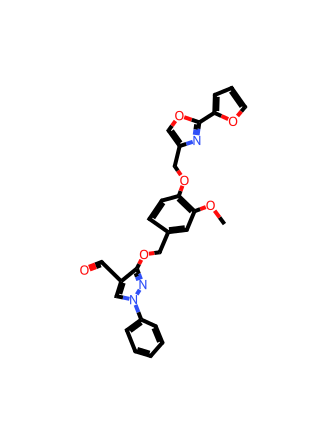 COc1cc(COc2nn(-c3ccccc3)cc2C=O)ccc1OCc1coc(-c2ccco2)n1